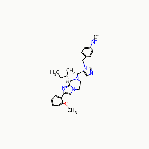 [C-]#[N+]c1ccc(Cn2cncc2CN2CCn3cc(-c4ccccc4OC)nc3[C@@H]2C(C)CC)cc1